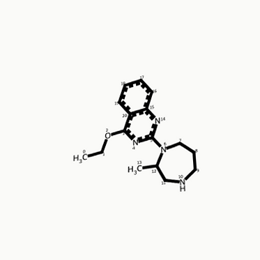 CCOc1nc(N2CCCNCC2C)nc2ccccc12